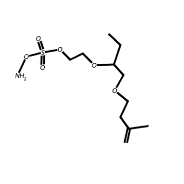 C=C(C)CCOCC(CC)OCCOS(=O)(=O)ON